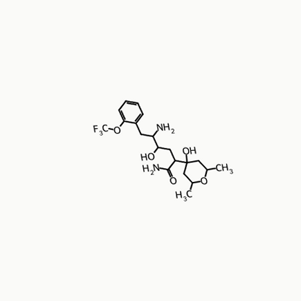 CC1CC(O)(C(CC(O)C(N)Cc2ccccc2OC(F)(F)F)C(N)=O)CC(C)O1